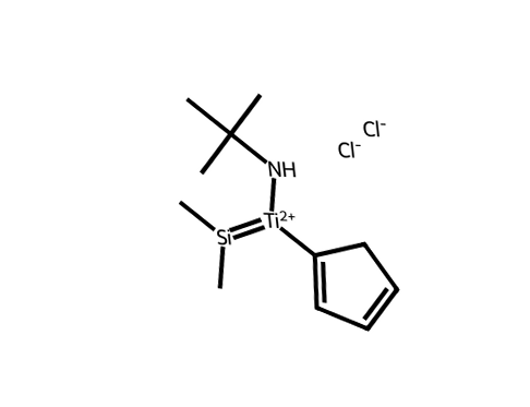 C[Si](C)=[Ti+2]([NH]C(C)(C)C)[C]1=CC=CC1.[Cl-].[Cl-]